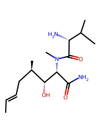 C/C=C/C[C@@H](C)[C@@H](O)[C@@H](C(N)=O)N(C)C(=O)[C@H](N)C(C)C